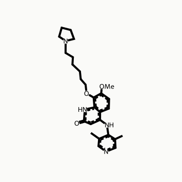 COc1ccc2c(Nc3c(C)cncc3C)cc(=O)[nH]c2c1OCCCCCCN1CCCC1